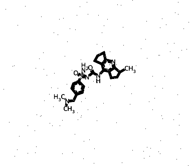 CC1CCc2c1nc1c(c2NC(=O)N=[S@@](N)(=O)c2ccc(CN(C)C)cc2)CCC1